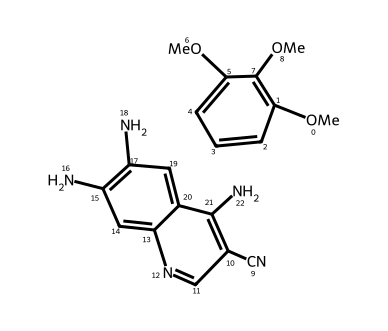 COc1cccc(OC)c1OC.N#Cc1cnc2cc(N)c(N)cc2c1N